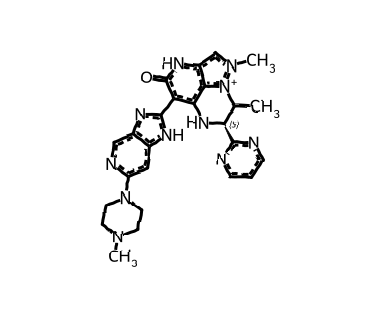 CC1[C@@H](c2ncccn2)Nc2c(-c3nc4cnc(N5CCN(C)CC5)cc4[nH]3)c(=O)[nH]c3cn(C)[n+]1c23